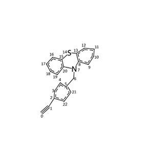 C#Cc1ccc(CN2c3ccccc3Sc3ccccc32)cc1